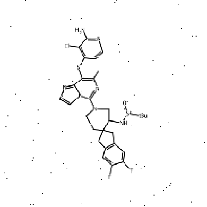 Cc1nc(N2CCC3(Cc4cc(F)c(F)cc4C3)C(N[S+]([O-])C(C)(C)C)C2)n2ccnc2c1Sc1ccnc(N)c1Cl